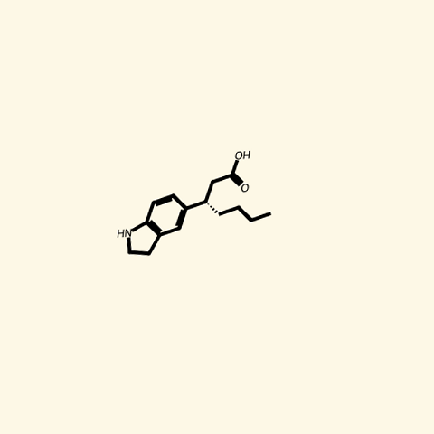 CCCC[C@@H](CC(=O)O)c1ccc2c(c1)CCN2